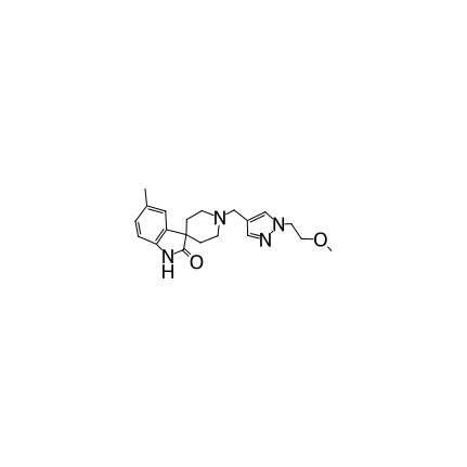 COCCn1cc(CN2CCC3(CC2)C(=O)Nc2ccc(C)cc23)cn1